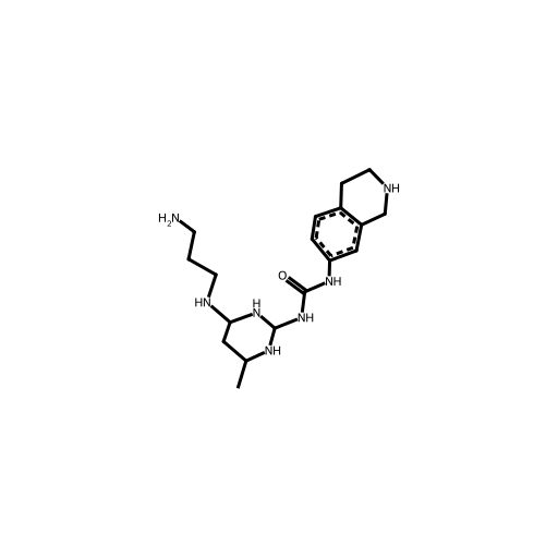 CC1CC(NCCCN)NC(NC(=O)Nc2ccc3c(c2)CNCC3)N1